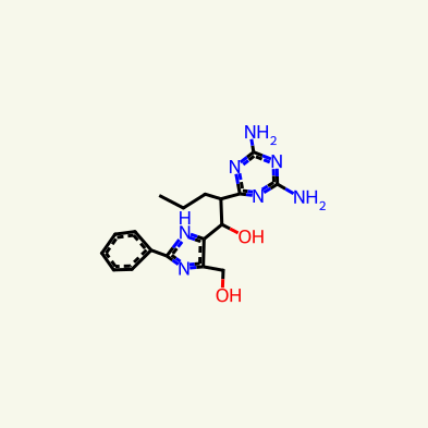 CCCC(c1nc(N)nc(N)n1)C(O)c1[nH]c(-c2ccccc2)nc1CO